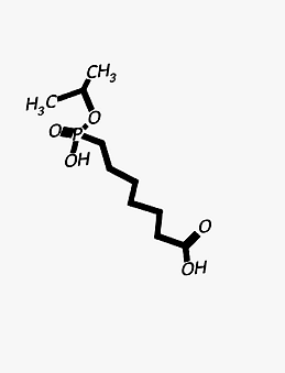 CC(C)OP(=O)(O)CCCCCCC(=O)O